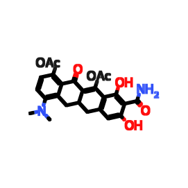 CC(=O)OC1=C2C(=O)c3c(OC(C)=O)ccc(N(C)C)c3CC2Cc2cc(O)c(C(N)=O)c(O)c21